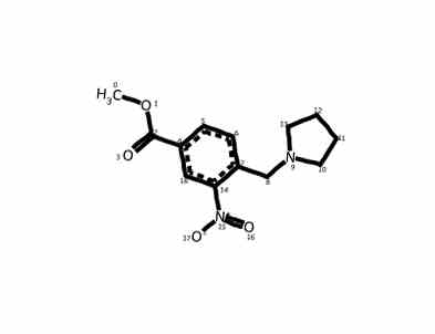 COC(=O)c1ccc(CN2CCCC2)c([N+](=O)[O-])c1